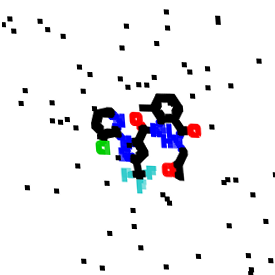 Cc1cccc(C(=O)NCC2CO2)c1NC(=O)c1cc(C(F)(F)F)nn1-c1ncccc1Cl